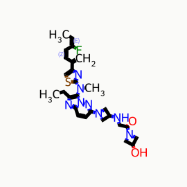 C=C(/C=C\C(F)=C/C)c1csc(N(C)c2c(CC)nc3ccc(N4CC(NCC(=O)N5CC(O)C5)C4)nn23)n1